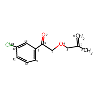 C=C(C)COCC(=O)c1cccc(Cl)c1